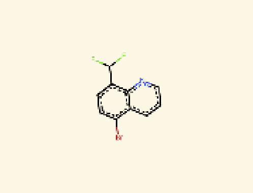 FC(F)c1ccc(Br)c2cccnc12